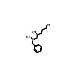 CN(Cc1ccccc1)C[C@@H](N)CCCO